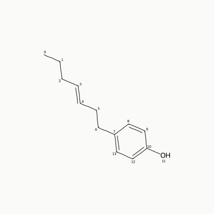 CCCC=CCCc1ccc(O)cc1